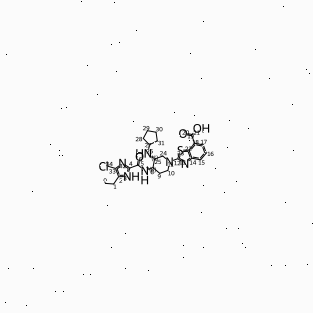 CCc1[nH]c(C(=O)N[C@@H]2CCN(c3nc4cccc(C(=O)O)c4s3)C[C@@H]2NC2CCCC2)nc1Cl